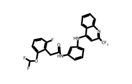 O=C(Cc1c(F)cccc1OC(F)F)Nc1cccc(Nc2cc(C(F)(F)F)nc3ccccc23)c1